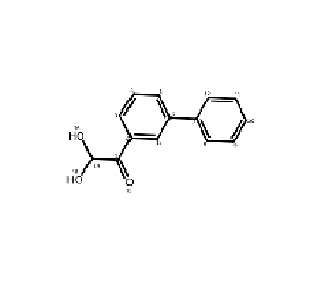 O=C(c1cccc(-c2ccccc2)c1)C(O)O